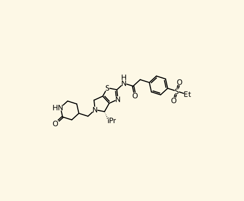 CCS(=O)(=O)c1ccc(CC(=O)Nc2nc3c(s2)CN(CC2CCNC(=O)C2)[C@H]3C(C)C)cc1